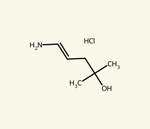 CC(C)(O)CC=CN.Cl